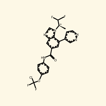 C[C@H](C(F)F)n1cnc2cc(C(=O)Nc3ccc(OC(F)(F)Cl)cc3)cc(-c3ccnnc3)c21